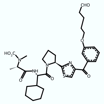 C[C@@H](C(=O)N[C@H](C(=O)N1CCC[C@H]1c1nc(C(=O)c2cccc(OCCCCC=O)c2)cs1)C1CCCCC1)N(C)C(=O)O